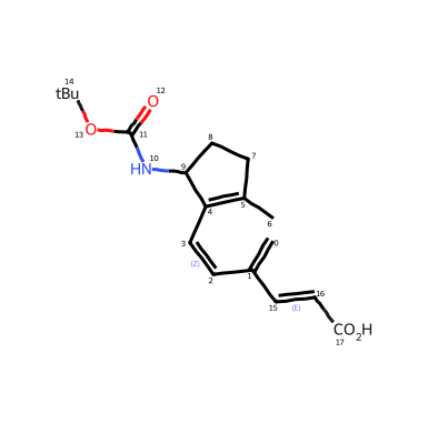 C=C(/C=C\C1=C(C)CCC1NC(=O)OC(C)(C)C)/C=C/C(=O)O